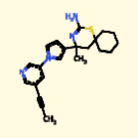 CC#Cc1cncc(-n2ccc(C3(C)CC4(CCCCC4)SC(N)=N3)c2)c1